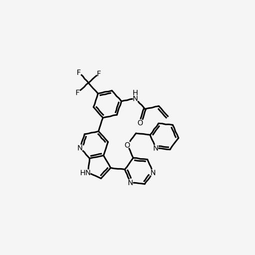 C=CC(=O)Nc1cc(-c2cnc3[nH]cc(-c4ncncc4OCc4ccccn4)c3c2)cc(C(F)(F)F)c1